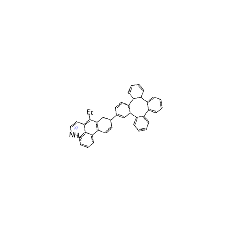 CCc1c2c(c3ccccc3c1/C=C\N)C=CC(C1=CC3c4ccccc4-c4ccccc4C4C=CC=CC4C3C=C1)C2